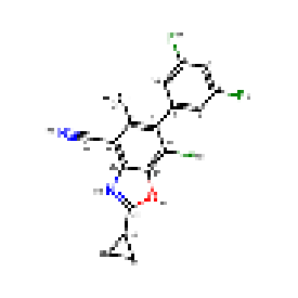 Cc1c(-c2cc(F)cc(F)c2)c(F)c2oc(C3CC3)nc2c1C#N